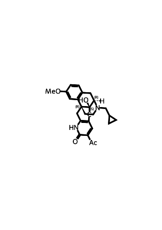 COc1ccc2c(c1)[C@]13CCN(CC4CC4)[C@H](C2)[C@]1(O)Cc1cc(C(C)=O)c(=O)[nH]c1C3